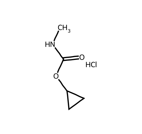 CNC(=O)OC1CC1.Cl